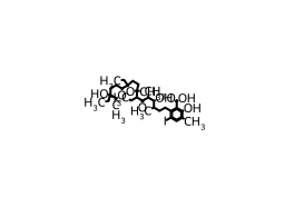 CCC(C(=O)C(C)C(O)C(C)CCc1c(I)cc(C)c(O)c1C(=O)O)C1(C)CCC(CC)(C2CCC(O)(CC)C(C)O2)O1